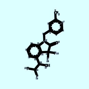 O=C1N(Cc2ccnc(C(F)(F)F)c2)c2cccc(C(O)C(F)F)c2C1(F)F